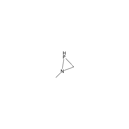 CN1CP1